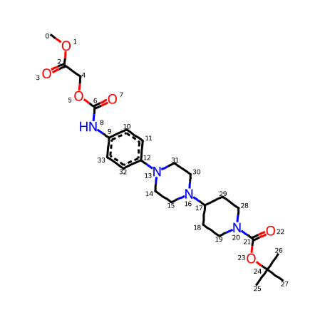 COC(=O)COC(=O)Nc1ccc(N2CCN(C3CCN(C(=O)OC(C)(C)C)CC3)CC2)cc1